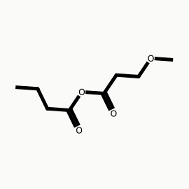 CCCC(=O)OC(=O)CCOC